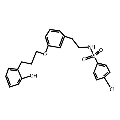 O=S(=O)(NCCc1cccc(OCCCc2ccccc2O)c1)c1ccc(Cl)cc1